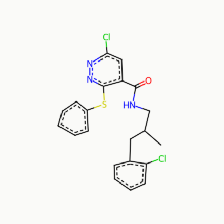 CC(CNC(=O)c1cc(Cl)nnc1Sc1ccccc1)Cc1ccccc1Cl